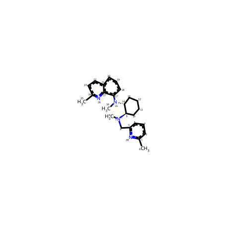 Cc1cccc(CN(C)[C@@H]2CCCC[C@H]2N(C)c2cccc3ccc(C)nc23)n1